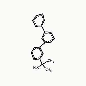 CC(C)(C)c1cccc(-c2cccc(-c3ccccc3)c2)c1